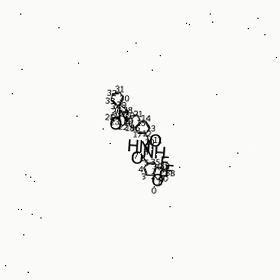 COc1ccc(C(=O)NNC(=O)c2ccc3c(c2)C[C@@]2(CC3)COC(C)(C)N2Cc2ccccc2)cc1C(F)(F)F